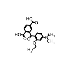 CCOc1cc(N(C)C)ccc1C(=O)c1cc(C(=O)O)ccc1C(=O)O